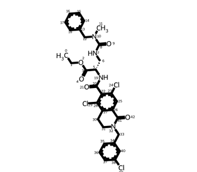 CCOC(=O)[C@H](CNC(=O)N(C)Cc1ccccc1)NC(=O)c1c(Cl)cc2c(c1Cl)CCN(Cc1cccc(Cl)c1)C2=O